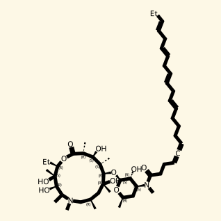 CCC=CCC=CCC=CCC=CCCCC=C=CCCC(=O)N(C)[C@H]1C[C@@H](C)O[C@@H](O[C@@H]2[C@@H](C)[C@H](O)[C@@H](C)C(=O)O[C@H](CC)[C@@](C)(O)[C@H](O)C(C)N(C)C[C@H](C)C[C@@]2(C)O)[C@@H]1O